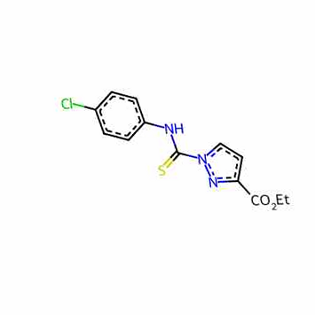 CCOC(=O)c1ccn(C(=S)Nc2ccc(Cl)cc2)n1